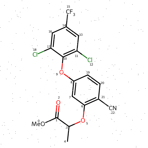 COC(=O)C(C)Oc1cc(Oc2c(Cl)cc(C(F)(F)F)cc2Cl)ccc1C#N